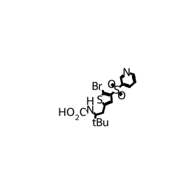 CC(C)(C)C(Cc1cc(S(=O)(=O)c2cccnc2)c(Br)s1)NC(=O)O